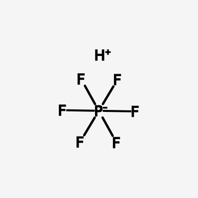 F[P-](F)(F)(F)(F)F.[H+]